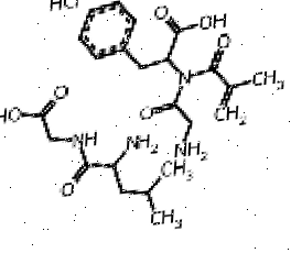 C=C(C)C(=O)N(C(=O)CN)C(Cc1ccccc1)C(=O)O.CC(C)CC(N)C(=O)NCC(=O)O.Cl